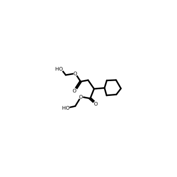 O=C(CC(C(=O)OCO)C1CCCCC1)OCO